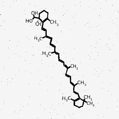 CC1=C(/C=C/C(C)=C/C=C/C(C)=C/C=C/C=C(C)/C=C/C=C(C)/C=C/C2=C(C)CCC[C@]2(C)C(O)O)C(C)(C)CCC1